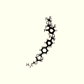 CCOC1COC(C2CCC(c3ccc(C(F)(F)Oc4cc(F)c(C(F)(F)OC(F)(F)F)c(F)c4)cc3)CC2)OC1